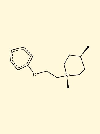 C[C@H]1CC[N@+](C)(CCOc2ccccc2)CC1